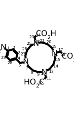 Nc1ccc(CN2CCCN(CC(=O)O)CCCN(CC(=O)O)CCCN(CC(=O)O)CCC2)cc1